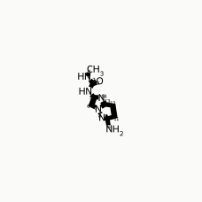 CNC(=O)Nc1cn2nc(N)ccc2n1